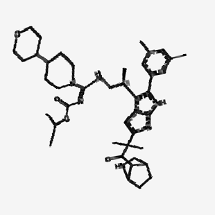 Cc1cc(C)cc(-c2[nH]c3sc(C(C)(C)C(=O)C4C5CCC4NC5)cc3c2[C@H](C)CNC(=NC(=O)OC(C)C)N2CCC(C3CCOCC3)CC2)c1